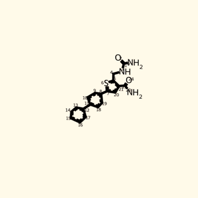 NC(=O)NCc1sc(-c2ccc(-c3ccccc3)cc2)cc1C(N)=O